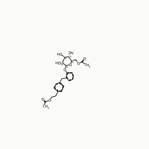 CC(=O)OCCc1ccc(Cc2ccccc2O[C@@H]2O[C@H](COC(C)=O)[C@@H](O)[C@H](O)[C@H]2O)cc1